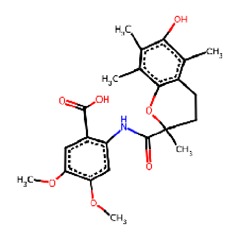 COc1cc(NC(=O)C2(C)CCc3c(C)c(O)c(C)c(C)c3O2)c(C(=O)O)cc1OC